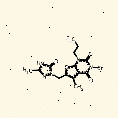 CCn1c(=O)c2c(C)c(Cn3nc(C)[nH]c3=O)sc2n(CCC(F)(F)F)c1=O